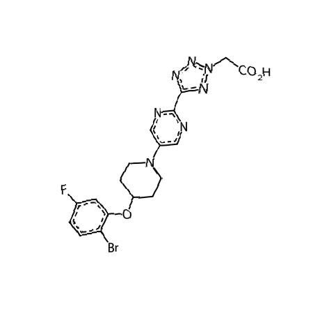 O=C(O)Cn1nnc(-c2ncc(N3CCC(Oc4cc(F)ccc4Br)CC3)cn2)n1